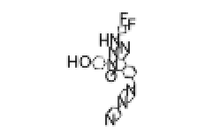 O=c1c2cc(CN3CCN(c4ccncc4)CC3)ccc2c2cnc(NC3CC(F)(F)C3)nc2n1[C@H]1CC[C@H](O)CC1